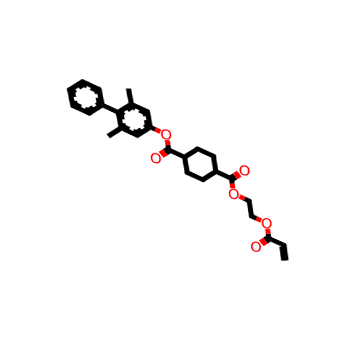 C=CC(=O)OCCOC(=O)C1CCC(C(=O)Oc2cc(C)c(-c3ccccc3)c(C)c2)CC1